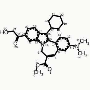 COC(=O)C1=Cc2cc(N(C)C)ccc2-c2c(C3CCCCC3)c3ccc(C(=O)CO)cc3n2C1